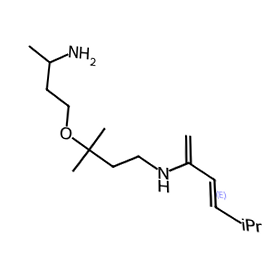 C=C(/C=C/C(C)C)NCCC(C)(C)OCCC(C)N